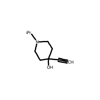 C#CC1(O)CCN(C(C)C)CC1